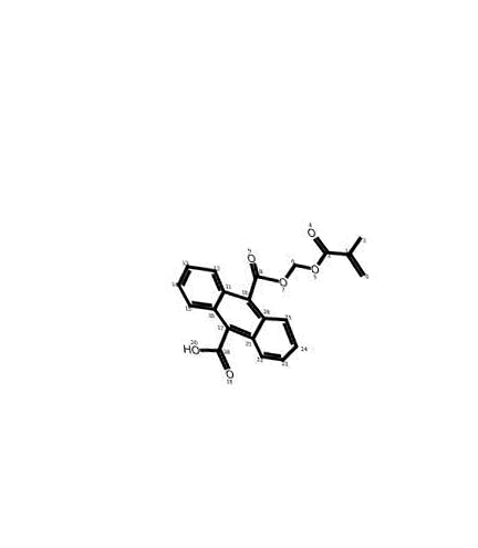 C=C(C)C(=O)OCOC(=O)c1c2ccccc2c(C(=O)O)c2ccccc12